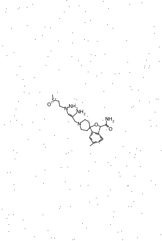 Cc1ccc2c(c1)C1(CCN(C/C(N)=C/N(N)CC[S+](C)[O-])CC1)OC2C(N)=O